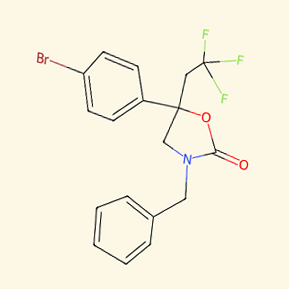 O=C1OC(CC(F)(F)F)(c2ccc(Br)cc2)CN1Cc1ccccc1